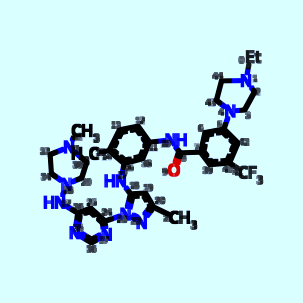 CCN1CCN(c2cc(C(=O)Nc3ccc(C)c(Nc4cc(C)nn4-c4cc(NN5CCN(C)CC5)ncn4)c3)cc(C(F)(F)F)c2)CC1